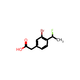 CC(F)c1ccc(CC(=O)O)cc1Br